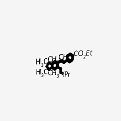 CCOC(=O)c1ccc(/C=C(\C)c2cc3c(cc2CCC(C)C)C(C)(C)CC3(C)C)cc1